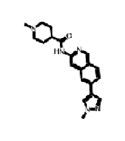 CN1CCC(C(=O)Nc2cc3cc(-c4cnn(C)c4)ccc3cn2)CC1